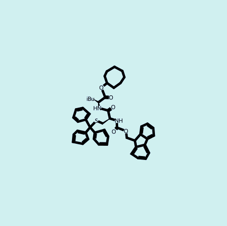 CC[C@H](C)[C@H](NC(=O)[C@H](CSC(c1ccccc1)(c1ccccc1)c1ccccc1)NC(=O)OCC1c2ccccc2-c2ccccc21)C(=O)OC1CCCCCCC1